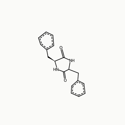 O=C1N[C@@H](Cc2ccccc2)C(=O)NC1Cc1ccccc1